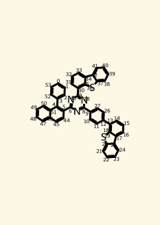 c1ccc(-c2c(-c3nc(-c4ccc(-c5cccc6c5sc5ccccc56)cc4)nc(-c4cccc5c4sc4ccccc45)n3)ccc3ccccc23)cc1